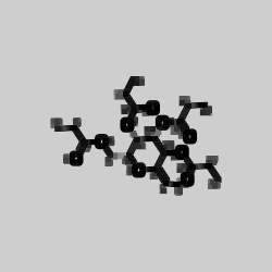 C/C=C1/O[C@H](COC(=O)CC)[C@H](OC(=O)CC)[C@H](OC(=O)CC)[C@H]1OC(=O)CC